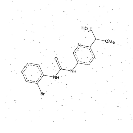 COC(C(=O)O)c1ccc(NC(=O)Nc2ccccc2Br)cn1